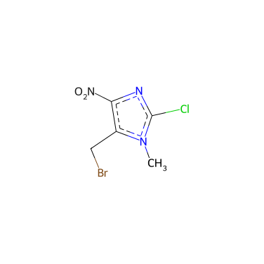 Cn1c(Cl)nc([N+](=O)[O-])c1CBr